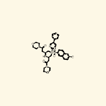 O=C(CC1C[N+](c2ncc(-c3ccncc3)cn2)(S(=O)(=O)c2ccc3cc(Cl)ccc3c2)CC(CC(=O)N2CCOCC2)N1)N1CCOCC1